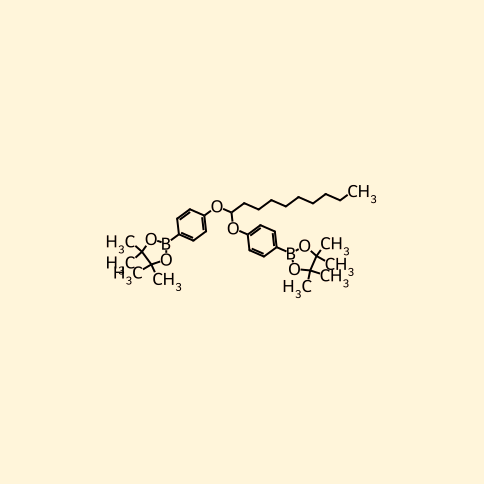 CCCCCCCCCC(Oc1ccc(B2OC(C)(C)C(C)(C)O2)cc1)Oc1ccc(B2OC(C)(C)C(C)(C)O2)cc1